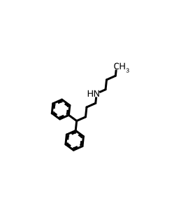 CCCCNCCCC(c1ccccc1)c1ccccc1